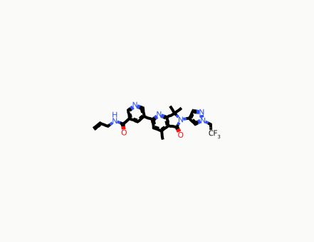 C=CCNC(=O)c1cncc(-c2cc(C)c3c(n2)C(C)(C)N(c2cnn(CC(F)(F)F)c2)C3=O)c1